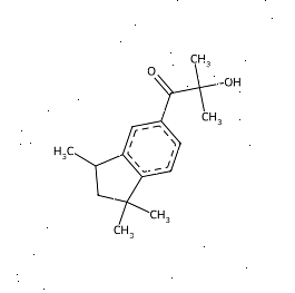 CC1CC(C)(C)c2ccc(C(=O)C(C)(C)O)cc21